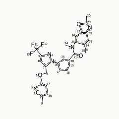 Cc1ccc(OCc2cc(C(F)(F)F)nn2-c2cccc(C(=O)N(C)c3cc4oc(C)nc4cc3F)c2)cc1